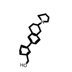 OCc1cccc(-c2ccc3c(c2)CCC(N2CCCC2)C3)c1